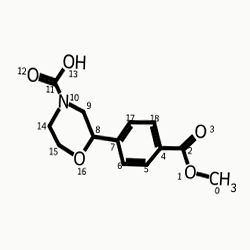 COC(=O)c1ccc(C2CN(C(=O)O)CCO2)cc1